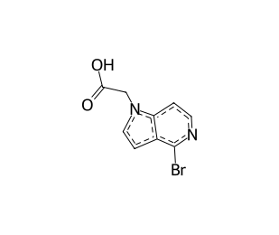 O=C(O)Cn1ccc2c(Br)nccc21